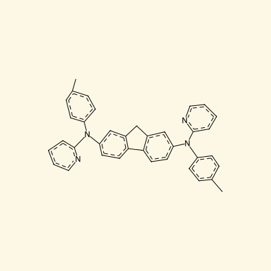 Cc1ccc(N(c2ccc3c(c2)Cc2cc(N(c4ccc(C)cc4)c4ccccn4)ccc2-3)c2ccccn2)cc1